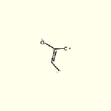 [CH2]C=C(Cl)Cl